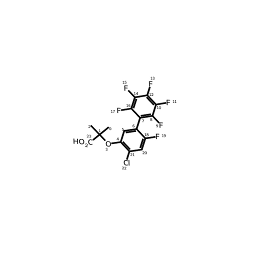 CC(C)(Oc1cc(-c2c(F)c(F)c(F)c(F)c2F)c(F)cc1Cl)C(=O)O